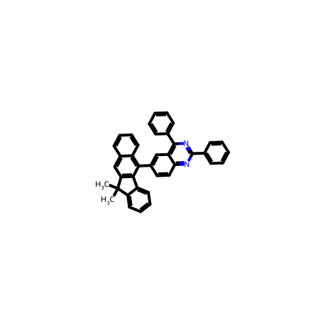 CC1(C)c2ccccc2-c2c1cc1ccccc1c2-c1ccc2nc(-c3ccccc3)nc(-c3ccccc3)c2c1